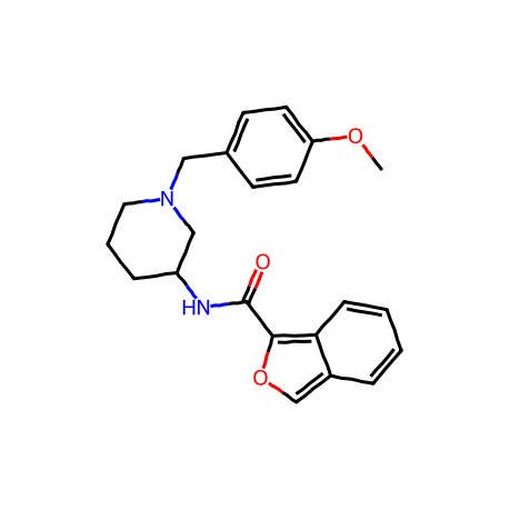 COc1ccc(CN2CCCC(NC(=O)c3occ4ccccc34)C2)cc1